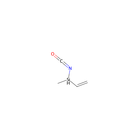 C=C[SiH](C)N=C=O